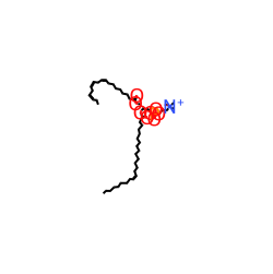 CC/C=C\C/C=C\C/C=C\CCCCCCCC(=O)OC[C@H](COP(=O)([O-])OCC[N+](C)(C)C)OC(=O)CCCCCCCCCCCCC/C=C\CCCCCCCC